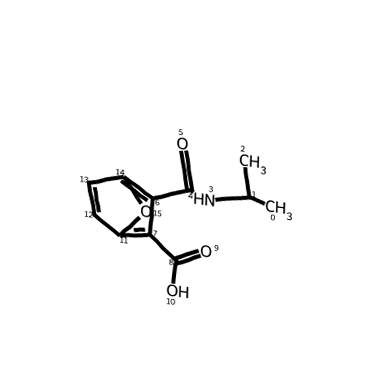 CC(C)NC(=O)c1c(C(=O)O)c2ccc1o2